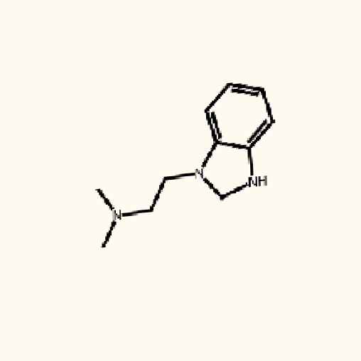 CN(C)CCN1[CH]Nc2ccccc21